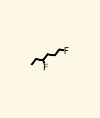 CCC(F)CCCF